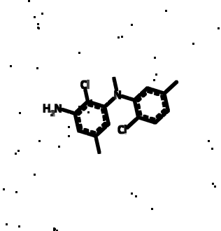 Cc1ccc(Cl)c(N(C)c2cc(C)cc(N)c2Cl)c1